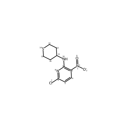 O=[N+]([O-])c1ccc(Cl)nc1NC1CCSCC1